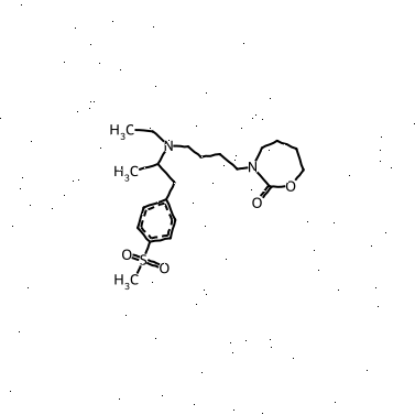 CCN(CCCCN1CCCCOC1=O)C(C)Cc1ccc(S(C)(=O)=O)cc1